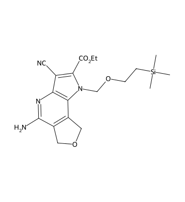 CCOC(=O)c1c(C#N)c2nc(N)c3c(c2n1COCC[Si](C)(C)C)COC3